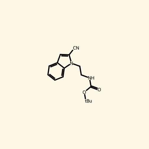 CC(C)(C)OC(=O)NCCn1c(C#N)cc2ccccc21